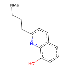 CNCCCc1ccc2cccc(O)c2n1